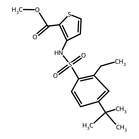 CCc1cc(C(C)(C)C)ccc1S(=O)(=O)Nc1ccsc1C(=O)OC